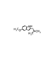 COc1ccc2[nH]c(CN(C)C)cc2c1